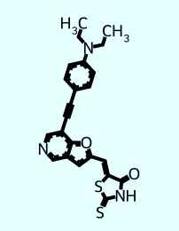 CCN(CC)c1ccc(C#Cc2cncc3cc(/C=C4\SC(=S)NC4=O)oc23)cc1